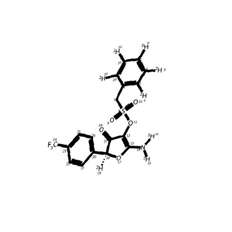 [2H]c1c([2H])c([2H])c(CS(=O)(=O)OC2=C(N([2H])[2H])O[C@@]([2H])(c3ccc(C(F)(F)F)cc3)C2=O)c([2H])c1[2H]